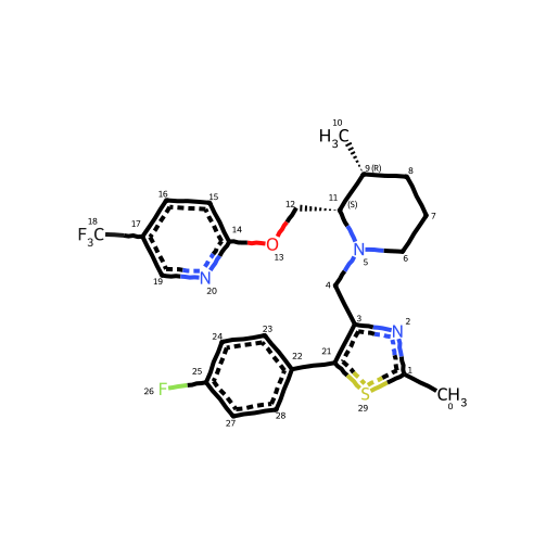 Cc1nc(CN2CCC[C@@H](C)[C@H]2COc2ccc(C(F)(F)F)cn2)c(-c2ccc(F)cc2)s1